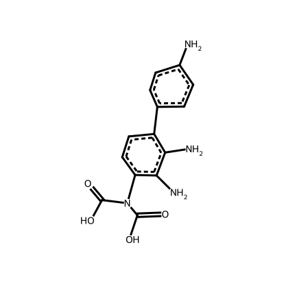 Nc1ccc(-c2ccc(N(C(=O)O)C(=O)O)c(N)c2N)cc1